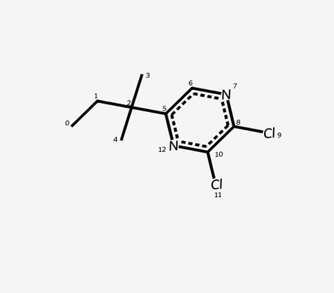 CCC(C)(C)c1cnc(Cl)c(Cl)n1